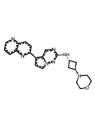 c1cnc2ccc(-c3ccn4nc(N[C@H]5C[C@H](N6CCOCC6)C5)ncc34)nc2c1